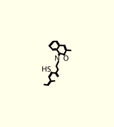 C=C(CCC/N=C1\C(=O)C(C)=Cc2ccccc21)/C(S)=C\C(C)=C/C